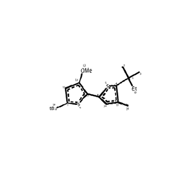 CCC(C)(C)c1sc(-c2sc(C(C)(C)C)cc2OC)cc1C